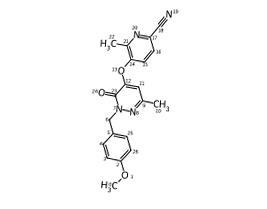 COc1ccc(Cn2nc(C)cc(Oc3ccc(C#N)nc3C)c2=O)cc1